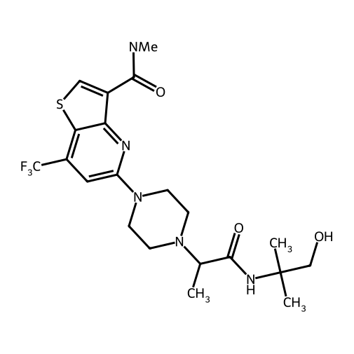 CNC(=O)c1csc2c(C(F)(F)F)cc(N3CCN(C(C)C(=O)NC(C)(C)CO)CC3)nc12